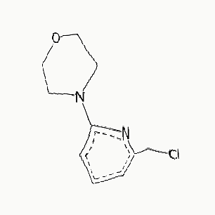 Clc1cccc(N2CCOCC2)n1